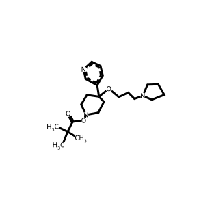 CC(C)(C)C(=O)ON1CCC(OCCCN2CCCC2)(c2cccnc2)CC1